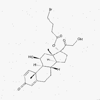 C[C@]12C=CC(=O)C=C1CC[C@@H]1[C@@H]2[C@@H](O)C[C@@]2(C)[C@H]1CC[C@]2(OC(=O)CCCBr)C(=O)CO